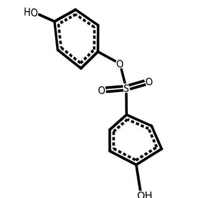 O=S(=O)(Oc1ccc(O)cc1)c1ccc(O)cc1